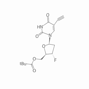 C#Cc1cn([C@H]2C[C@H](F)[C@@H](COC(=O)C(C)(C)C)O2)c(=O)[nH]c1=O